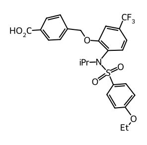 CCOc1ccc(S(=O)(=O)N(c2ccc(C(F)(F)F)cc2OCc2ccc(C(=O)O)cc2)C(C)C)cc1